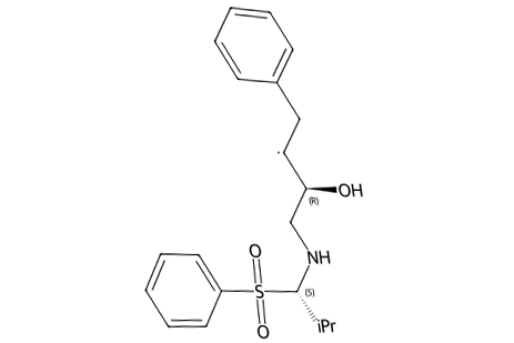 CC(C)[C@@H](NC[C@H](O)[CH]Cc1ccccc1)S(=O)(=O)c1ccccc1